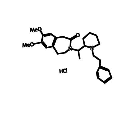 COc1cc2c(cc1OC)CC(=O)N(C(C)C1CCCCN1CCc1ccccc1)CC2.Cl